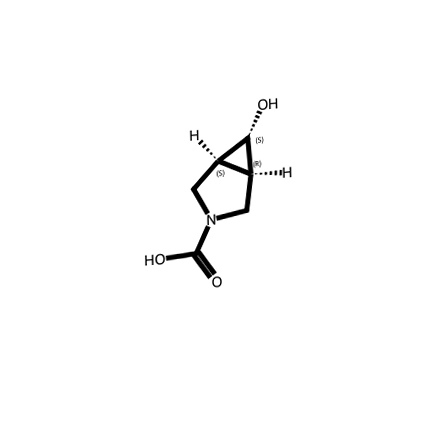 O=C(O)N1C[C@@H]2[C@@H](O)[C@@H]2C1